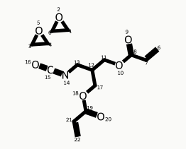 C1CO1.C1CO1.C=CC(=O)OCC(CN=C=O)COC(=O)C=C